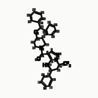 O=C(c1cnn2c1NC(c1ccccc1)CC2C(F)(F)F)N1CCC(OC(c2ccccc2)c2ccccc2)CC1